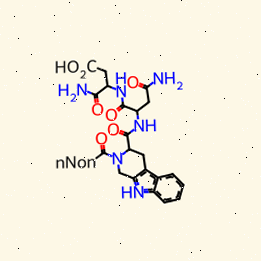 CCCCCCCCCC(=O)N1Cc2[nH]c3ccccc3c2CC1C(=O)NC(CC(N)=O)C(=O)NC(CC(=O)O)C(N)=O